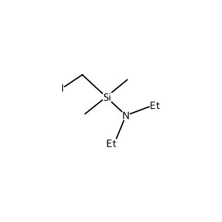 CCN(CC)[Si](C)(C)CI